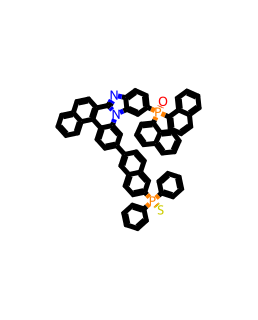 O=P(c1ccc2nc3c4ccc5ccccc5c4c4ccc(-c5ccc6cc(P(=S)(c7ccccc7)c7ccccc7)ccc6c5)cc4n3c2c1)(c1cccc2ccccc12)c1cccc2ccccc12